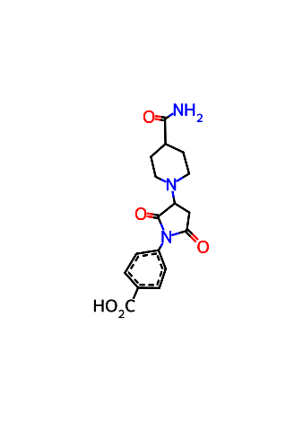 NC(=O)C1CCN(C2CC(=O)N(c3ccc(C(=O)O)cc3)C2=O)CC1